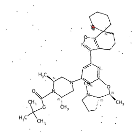 C[C@H](Oc1nc(-c2noc3c2CCC[C@@]32CCCCC23OCCO3)cc(N2C[C@H](C)N(C(=O)OC(C)(C)C)[C@@H](C)C2)n1)[C@@H]1CCCN1C